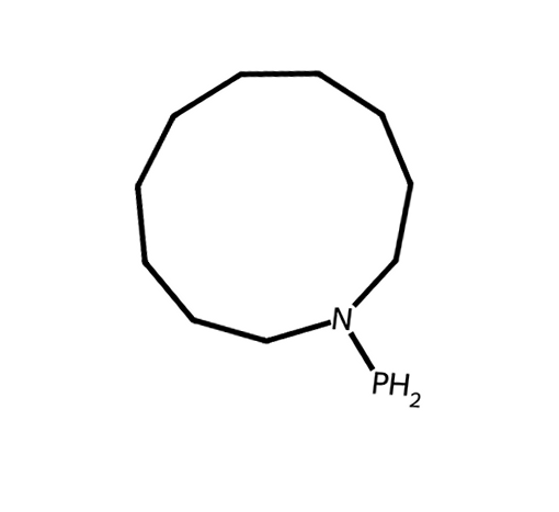 PN1CCCCCCCCCC1